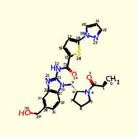 C=CC(=O)N1CCC[C@@H]1Cn1c(NC(=O)c2ccc(-n3cccn3)s2)nc2cc(CO)ccc21